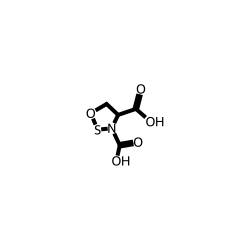 O=C(O)C1COSN1C(=O)O